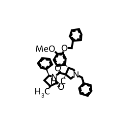 COc1ccc([C@@H]2CN(Cc3ccccc3)C[C@@]2(C)C(=O)N2C(=O)C(C)C[C@H]2c2ccccc2)cc1OCc1ccccc1